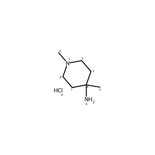 CN1CCC(C)(N)CC1.Cl